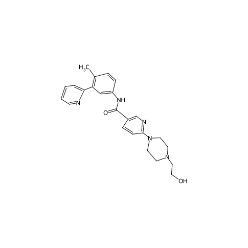 Cc1ccc(NC(=O)c2ccc(N3CCN(CCO)CC3)nc2)cc1-c1ccccn1